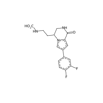 O=C(O)NCCC1CNC(=O)c2cc(-c3ccc(F)c(F)c3)cn21